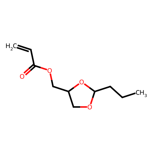 C=CC(=O)OCC1COC(CCC)O1